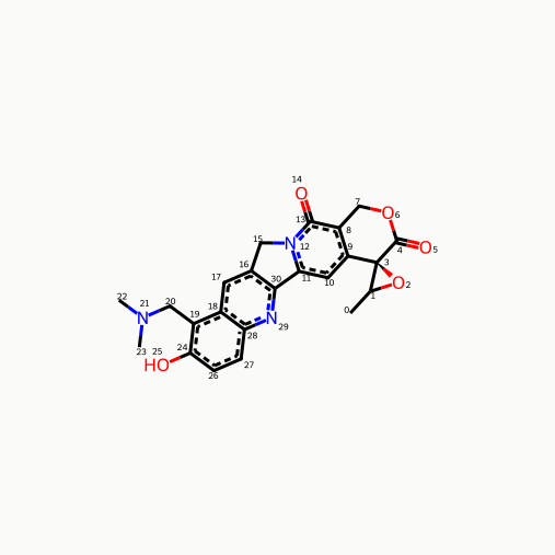 CC1O[C@@]12C(=O)OCc1c2cc2n(c1=O)Cc1cc3c(CN(C)C)c(O)ccc3nc1-2